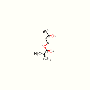 C=C(C)C(=O)OCCC(=O)C(C)C